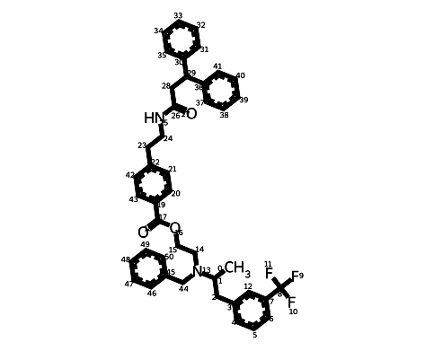 CC(Cc1cccc(C(F)(F)F)c1)N(CCOC(=O)c1ccc(CCNC(=O)CC(c2ccccc2)c2ccccc2)cc1)Cc1ccccc1